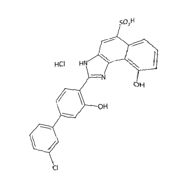 Cl.O=S(=O)(O)c1cc2[nH]c(-c3ccc(-c4cccc(Cl)c4)cc3O)nc2c2c(O)cccc12